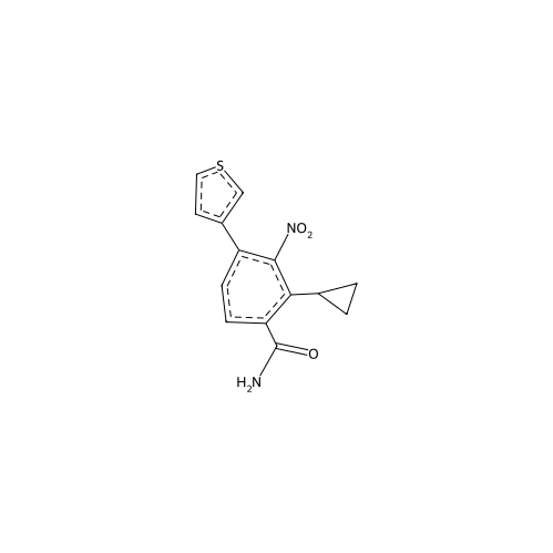 NC(=O)c1ccc(-c2ccsc2)c([N+](=O)[O-])c1C1CC1